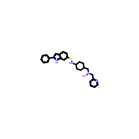 ON(Cc1ccccn1)CC1CCC(NSc2ccc3cc(-c4ccccc4)[nH]c3c2)CC1